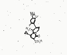 Cc1c(-c2cc(F)c(N)cc2F)ccn2c(=O)c(C(=O)O)cc(C3CC3)c12